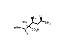 CCCCCCN(CC)[C@](CCCC)(C(=O)O)C(CCCC)CC(N)=O